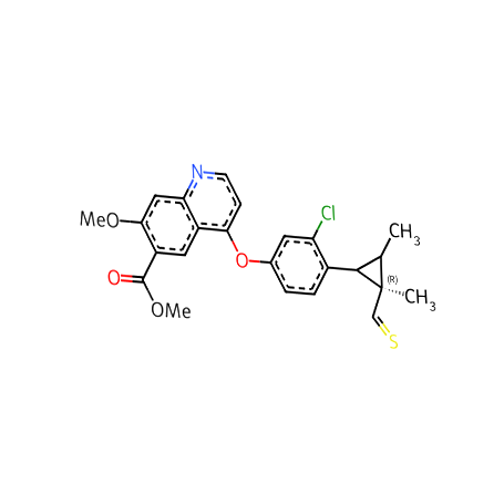 COC(=O)c1cc2c(Oc3ccc(C4C(C)[C@@]4(C)C=S)c(Cl)c3)ccnc2cc1OC